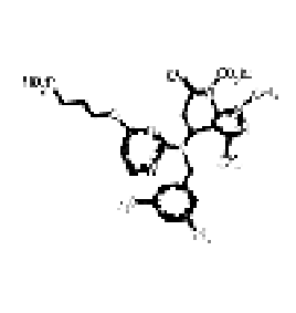 CCOC(=O)N1c2c(c(C)nn2C)C(N(Cc2cc(C(F)(F)F)cc(C(F)(F)F)c2)c2nccc(OCCCC(=O)O)n2)CC1CC